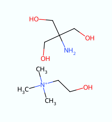 C[N+](C)(C)CCO.NC(CO)(CO)CO